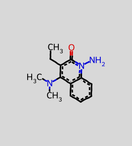 CCc1c(N(C)C)c2ccccc2n(N)c1=O